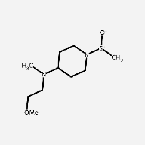 COCCN(C)C1CCN([S+](C)[O-])CC1